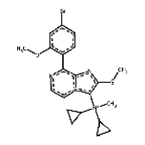 COc1cc(Br)ccc1-c1nccn2c([N+](C)(C3CC3)C3CC3)c(SC)nc12